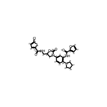 O=C(Nc1cc(N2CC(CNC(=O)c3ccc(Cl)s3)OC2=O)ccc1N1CCCC1)c1ccco1